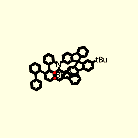 CC(C)(C)c1ccc2c(c1)C1(c3ccccc3-c3ccc(N(c4ccccc4-c4ccccc4-c4ccccc4-c4ccccc4)c4cccc5c4sc4ccccc45)cc31)c1cc(C(C)(C)C)ccc1-2